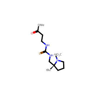 COC(=O)CCNC(=S)NC[C@@]1(C(C)(C)C)CCCN1C(=O)O